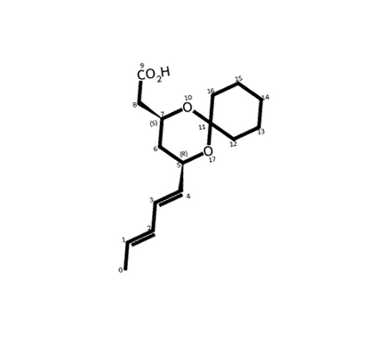 CC=CC=C[C@H]1C[C@@H](CC(=O)O)OC2(CCCCC2)O1